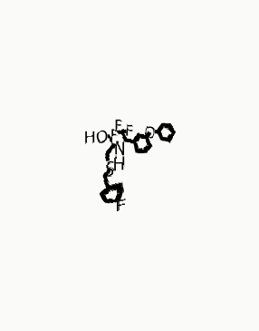 OC[C@H](CSCc1ccc(F)cc1)N[C@@H](c1cccc(Oc2ccccc2)c1)C(F)(F)F